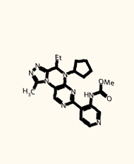 CCC1c2nnc(C)n2-c2cnc(-c3ccncc3NC(=O)OC)nc2N1C1CCCC1